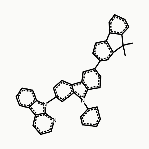 CC1(C)c2ccccc2-c2ccc(-c3ccc4c(c3)c3ccc(-n5c6ccccc6c6cccnc65)cc3n4-c3ccccc3)cc21